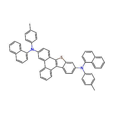 Cc1ccc(N(c2ccc3c(c2)sc2c4ccc(N(c5ccc(C)cc5)c5cccc6ccccc56)cc4c4ccccc4c32)c2cccc3ccccc23)cc1